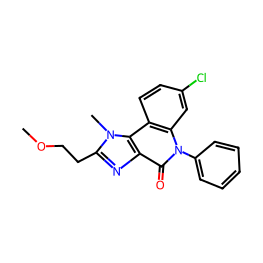 COCCc1nc2c(=O)n(-c3ccccc3)c3cc(Cl)ccc3c2n1C